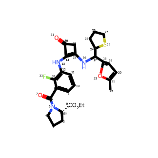 CCOC(=O)[C@@H]1CCCN1C(=O)c1cccc(NC2=C(NC(c3ccc(C)o3)C3CCCS3)CC2=O)c1F